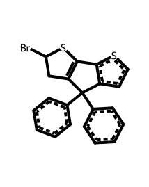 BrC1CC2=C(S1)c1sccc1C2(c1ccccc1)c1ccccc1